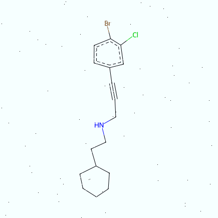 Clc1cc(C#CCNCCC2CCCCC2)ccc1Br